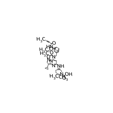 CC#CC(=O)Nc1cccc(CN(C(=O)OC(C)(C)C)c2cc(N[C@H]3CCC(C)(C)N(C(=O)O)C3)nc3c(C4CC4)cnn23)c1